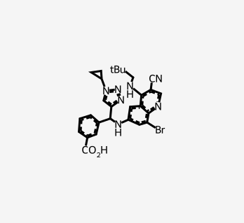 CC(C)(C)CNc1c(C#N)cnc2c(Br)cc(NC(c3cccc(C(=O)O)c3)c3cn(C4CC4)nn3)cc12